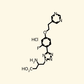 Cl.NC(CC(=O)O)Cn1nnc(-c2ccc(OCCc3cncnc3)cc2F)n1